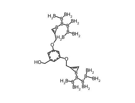 BB(B)B(B)B(B(B)B)B1C=C1COc1cc(CO)cc(OCC2=CB2B(B(B)B)B(B)B(B)B)c1